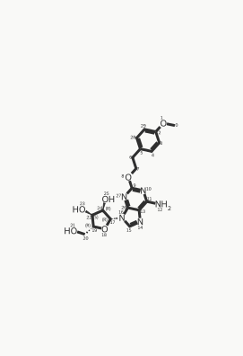 COc1ccc(CCOc2nc(N)c3ncn([C@@H]4O[C@H](CO)[C@@H](O)[C@H]4O)c3n2)cc1